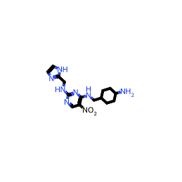 NC1CCC(CNc2nc(NCc3ncc[nH]3)ncc2[N+](=O)[O-])CC1